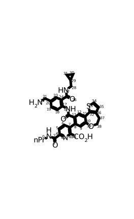 CCCNC(=O)c1ccc(-c2cc3c(cc2C(=O)Nc2ccc(CN)cc2C(=O)NCC2CC2)-c2sccc2CCO3)c(C(=O)O)n1